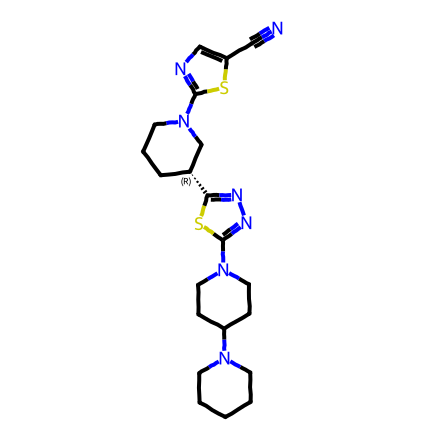 N#Cc1cnc(N2CCC[C@@H](c3nnc(N4CCC(N5CCCCC5)CC4)s3)C2)s1